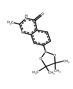 Cc1nc2cc(B3OC(C)(C)C(C)(C)O3)ccc2c(=O)[nH]1